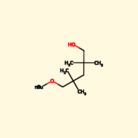 CCCCOCC(C)(C)CC(C)(C)CO